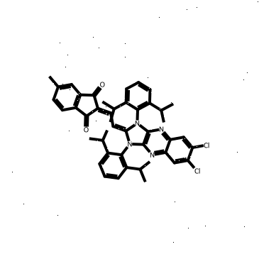 Cc1ccc2c(c1)C(=O)/C(=C/C=C1N(c3c(C(C)C)cccc3C(C)C)c3nc4cc(Cl)c(Cl)cc4nc3N1c1c(C(C)C)cccc1C(C)C)C2=O